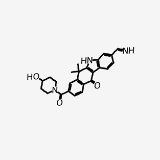 CC1(C)c2cc(C(=O)N3CCC(O)CC3)ccc2C(=O)c2c1[nH]c1cc(C=N)ccc21